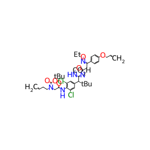 C=CCCN(CC(=O)Nc1c(Cl)cc(C(C(=NC(=O)CC(=NOCC)c2ccc(OCC=C)cc2)NC(=O)O)C(C)(C)C)cc1Cl)C(=O)OC(C)(C)C